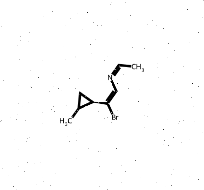 C/C=N\C=C(\Br)[C@@H]1CC1C